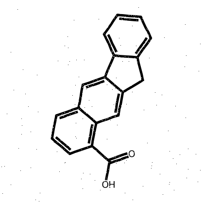 O=C(O)c1cccc2cc3c(cc12)Cc1ccccc1-3